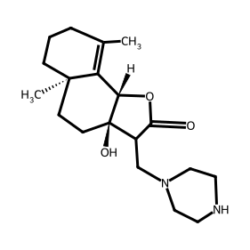 CC1=C2[C@@H]3OC(=O)C(CN4CCNCC4)[C@]3(O)CC[C@@]2(C)CCC1